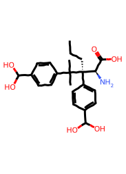 CCC[C@@](c1ccc(C(O)O)cc1)([C@H](N)C(=O)O)C(C)(C)c1ccc(C(O)O)cc1